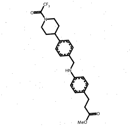 COC(=O)CCc1ccc(NCc2ccc(C3CCN(C(=O)C(F)(F)F)CC3)cc2)cc1